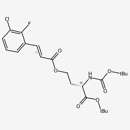 CC(C)(C)OC(=O)N[C@@H](CCOC(=O)/C=C/c1cccc(Cl)c1F)C(=O)OC(C)(C)C